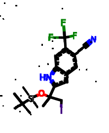 CC(CI)(O[Si](C)(C)C(C)(C)C)c1cc2cc(C#N)c(C(F)(F)F)cc2[nH]1